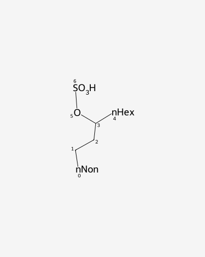 CCCCCCCCCCCC(CCCCCC)OS(=O)(=O)O